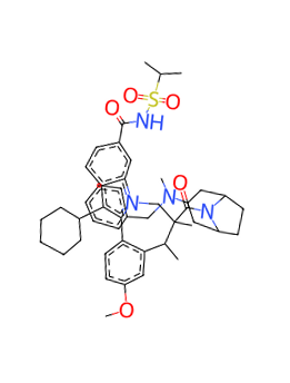 COc1ccc2c(c1)C(C)C(C)(C(=O)N1C3CCC1CC(N(C)Cc1ccccc1)C3)Cn1c-2c(C2CCCCC2)c2ccc(C(=O)NS(=O)(=O)C(C)C)cc21